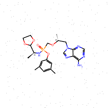 Cc1cc(C)cc(OP(=O)(CO[C@H](C)Cn2cnc3c(N)ncnc32)N[C@@H](C)C2OCCO2)c1